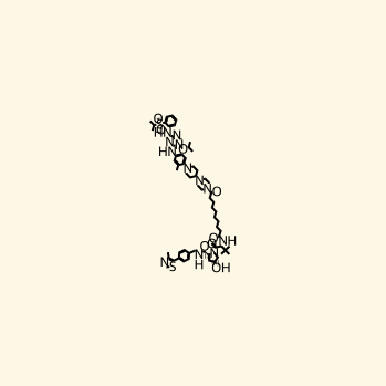 Cc1cc(Nc2ncnc(Nc3ccccc3S(=O)(=O)C(C)C)n2)c(OC(C)C)cc1N1CCC(N2CCN(C(=O)CCCCCCCCC(=O)NC(C(=O)N3C[C@H](O)C[C@H]3C(=O)NCc3ccc(-c4scnc4C)cc3)C(C)(C)C)CC2)CC1